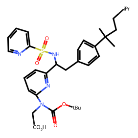 CC(C)CCC(C)(C)c1ccc(CC(NS(=O)(=O)c2ccccn2)c2cccc(N(CC(=O)O)C(=O)OC(C)(C)C)n2)cc1